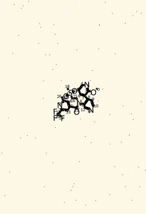 COc1ncccc1-c1ccncc1N(CCS(C)(=O)=O)C(=O)c1cc(C)nc(C(F)(F)F)c1